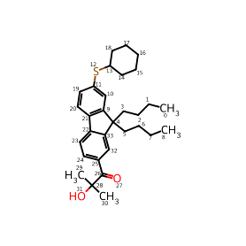 CCCCC1(CCCC)c2cc(SC3CCCCC3)ccc2-c2ccc(C(=O)C(C)(C)O)cc21